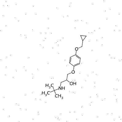 CC(C)(C)NCC(O)COc1ccc(OCC2CC2)cc1